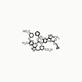 Cc1nc(-c2nnn(C)c2NC(=O)OCC2CC2)ccc1O[C@H]1CC(Cn2nnc(-c3cnc(OC4CCC[C@H](C(=O)O)C4)c(C)n3)c2CNC(=O)OCc2ccccc2)C[C@H](C(=O)O)C1